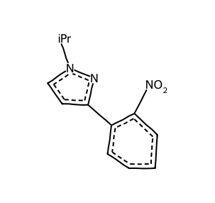 CC(C)n1ccc(-c2ccccc2[N+](=O)[O-])n1